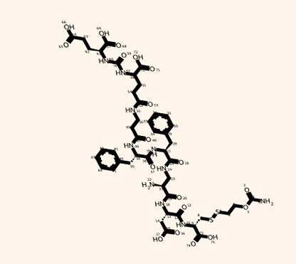 NC(=O)OCCSSC[C@@H](NC(=O)[C@H](CC(=O)O)NC(=O)[C@@H](N)CNC(=O)[C@H](Cc1ccccc1)NC(=O)[C@H](Cc1ccccc1)NC(=O)CCNC(=O)CCC(NC(=O)N[C@@H](CCC(=O)O)C(=O)O)C(=O)O)C(=O)O